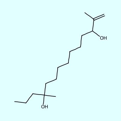 C=C(C)C(O)CCCCCCCC(C)(O)CCC